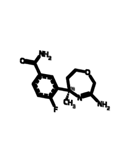 C[C@]1(c2cc(C(N)=O)ccc2F)CCOCC(N)=N1